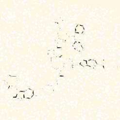 Cn1c(=O)n(C2CCC(=O)NC2=O)c2ccc(C[C@H]3CC[C@H](CCC(=O)N4CC[C@H]5CC[C@@H](C(=O)NC(CCC(N)=O)C(=O)NC(c6ccccc6)c6ccccc6)N5C(=O)[C@@H](NC(=O)c5cc6cc(C(=O)P(=O)(O)O)ccc6[nH]5)C4)CC3)cc21